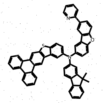 CC1(C)c2ccccc2-c2ccc(N(c3ccc4oc5ccc(-c6ccccn6)cc5c4c3)c3ccc4sc5cc6c7ccccc7c7ccccc7c6cc5c4c3)cc21